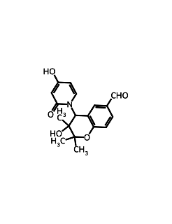 CC1(C)Oc2ccc(C=O)cc2C(n2ccc(O)cc2=O)C1(C)O